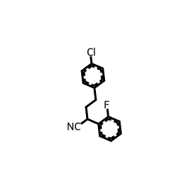 N#CC(CCc1ccc(Cl)cc1)c1ccccc1F